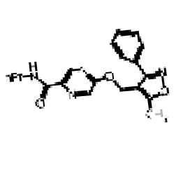 CCCNC(=O)c1cnc(OCc2c(-c3ccccc3)noc2C)cn1